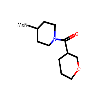 CNC1CCN(C(=O)C2CCCOC2)CC1